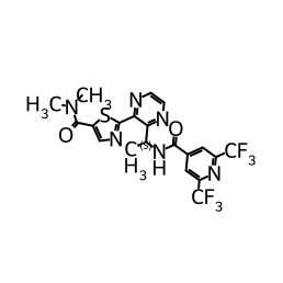 C[C@H](NC(=O)c1cc(C(F)(F)F)nc(C(F)(F)F)c1)c1nccnc1-c1ncc(C(=O)N(C)C)s1